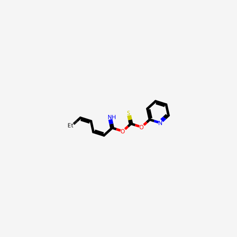 CC/C=C\C=C/C(=N)OC(=S)Oc1ccccn1